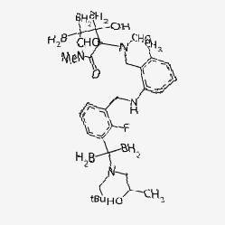 BC(B)(c1cccc(CNc2cccc(C)c2CN(C=O)C(C(=O)NC)C(B)(O)C(B)(B)C=O)c1F)N(CC(C)O)CC(C)(C)C